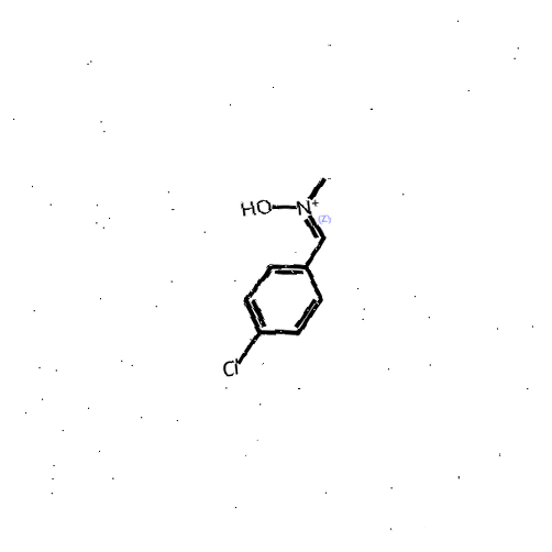 C/[N+](O)=C/c1ccc(Cl)cc1